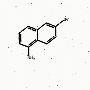 CC(C)c1ccc2c(N)cccc2c1